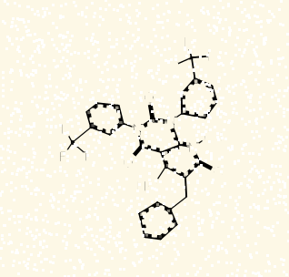 Cn1c(=O)c(Cc2ccccc2)c(O)c2c(=O)n(-c3cccc(C(F)(F)F)c3)c(=O)n(-c3cccc(C(F)(F)F)c3)c21